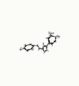 Oc1ccc(-c2nnc(N=Cc3ccc(Br)cc3)s2)cc1O